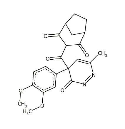 COc1ccc(C2(C(=O)C3C(=O)C4CCC(C4)C3=O)C=C(C)N=NC2=O)cc1OC